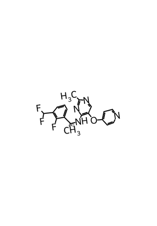 Cc1ncc(Oc2ccncc2)c(N[C@H](C)c2cccc(C(F)F)c2F)n1